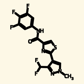 Cn1cc(-c2nc(C(=O)Nc3cc(F)c(F)c(F)c3)cs2)c(C(F)F)n1